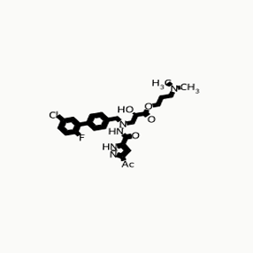 CC(=O)c1cc(C(=O)NN(Cc2ccc(-c3cc(Cl)ccc3F)cc2)C[C@@H](O)C(=O)OCCCN(C)C)[nH]n1